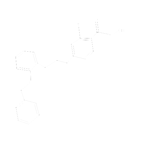 COC(=O)c1ccc(CCCc2ccccc2OCc2ccccc2)cc1Br